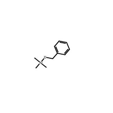 C[N+](C)(C)OCc1ccccc1